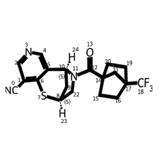 N#Cc1cncc2c1S[C@H]1C[C@@H]2N(C(=O)C23CCC(C(F)(F)F)(CC2)C3)C1